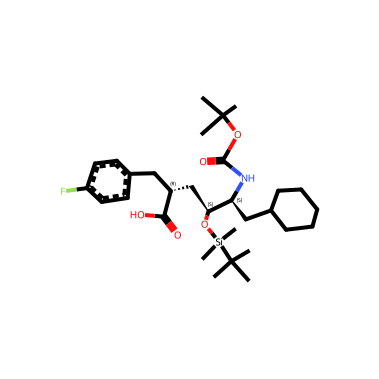 CC(C)(C)OC(=O)N[C@@H](CC1CCCCC1)[C@H](C[C@@H](Cc1ccc(F)cc1)C(=O)O)O[Si](C)(C)C(C)(C)C